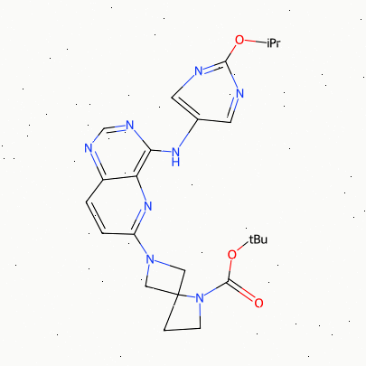 CC(C)Oc1ncc(Nc2ncnc3ccc(N4CC5(CCN5C(=O)OC(C)(C)C)C4)nc23)cn1